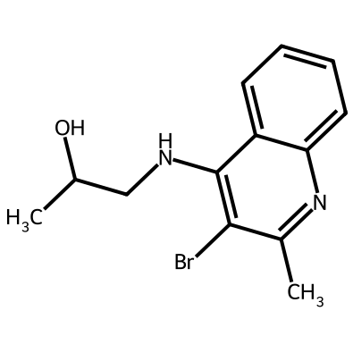 Cc1nc2ccccc2c(NCC(C)O)c1Br